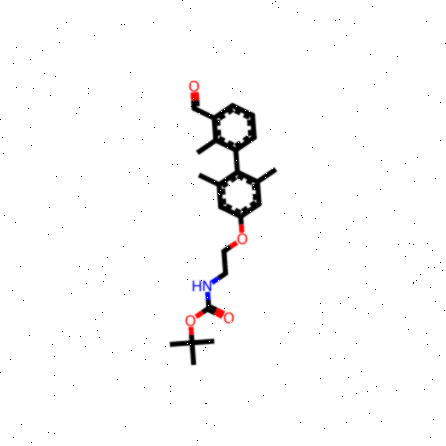 Cc1cc(OCCNC(=O)OC(C)(C)C)cc(C)c1-c1cccc(C=O)c1C